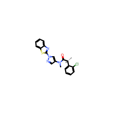 C[C@@H](C(=O)N(C)c1cnn(-c2nc3ccccc3s2)c1)c1ccccc1Cl